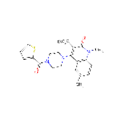 CCOC(=O)c1c(N2CCN(C(=O)c3cccs3)CC2)c2cc(C)ccc2n(C)c1=O